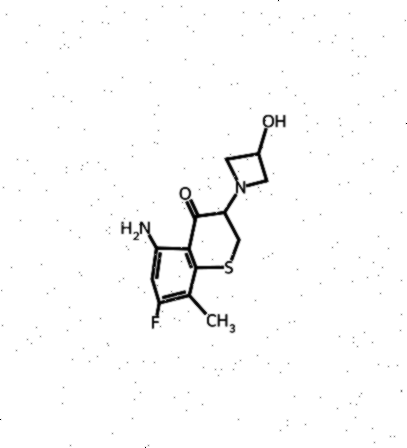 Cc1c(F)cc(N)c2c1SCC(N1CC(O)C1)C2=O